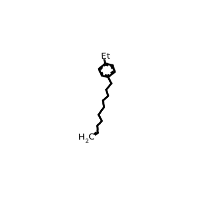 C=CCCCCCCCCc1ccc(CC)cc1